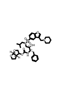 CC(C)CN(C[C@@H](O)[C@H](Cc1ccccc1)NC(=O)OC1CO[C@H]2OCC[C@@H]12)S(=O)(=O)c1ccc2occ(CN3CCCCC3)c2c1